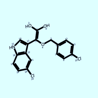 OC(O)=C(OCc1ccc(Cl)cc1)c1c[nH]c2ccc(Cl)cc12